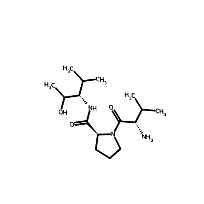 CC(C)[C@H](NC(=O)[C@@H]1CCCN1C(=O)[C@@H](N)C(C)C)C(C)O